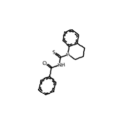 O=C(NC(=S)N1CCCc2ccccc21)c1ccccc1